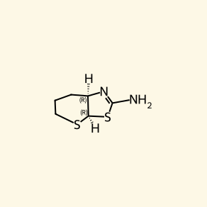 NC1=N[C@@H]2CCCS[C@@H]2S1